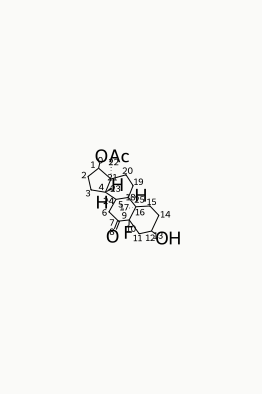 CC(=O)OC1CC[C@H]2[C@@H]3CC(=O)C4(F)CC(O)CC[C@]4(C)[C@@H]3CC[C@]12C